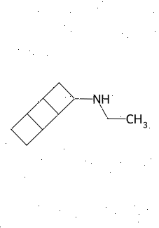 CCNC1CC2C3CCC3C12